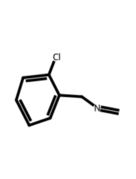 C=NCc1ccccc1Cl